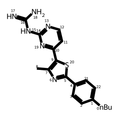 CCCCc1ccc(-c2nc(C)c(-c3ccnc(NC(=N)N)n3)s2)cc1